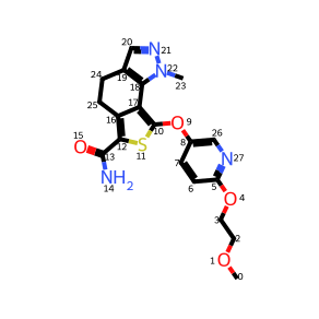 COCCOc1ccc(Oc2sc(C(N)=O)c3c2-c2c(cnn2C)CC3)cn1